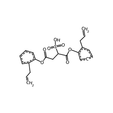 C=CCc1ccccc1OC(=O)CC(C(=O)Oc1ccccc1CC=C)S(=O)(=O)O